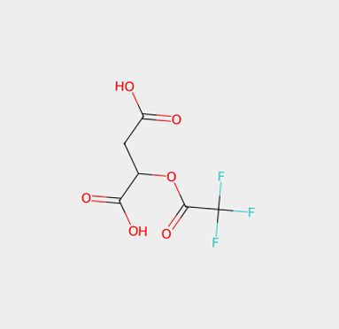 O=C(O)CC(OC(=O)C(F)(F)F)C(=O)O